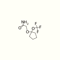 NC(=O)COC1(OC(F)(F)F)CCCC1